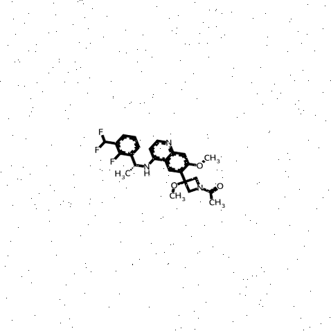 COc1cc2nccc(N[C@H](C)c3cccc(C(F)F)c3F)c2cc1C1(OC)CN(C(C)=O)C1